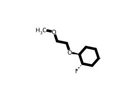 COCCO[C@H]1CC[CH]C[C@@H]1I